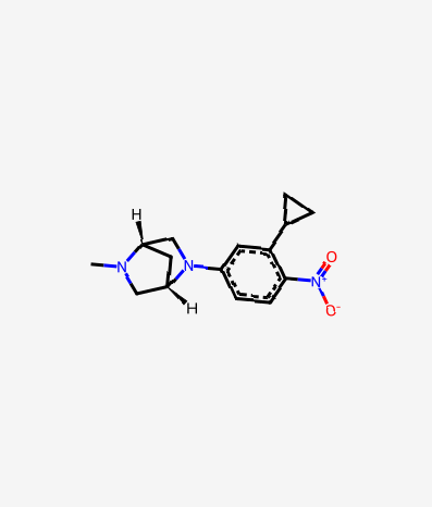 CN1C[C@@H]2C[C@H]1CN2c1ccc([N+](=O)[O-])c(C2CC2)c1